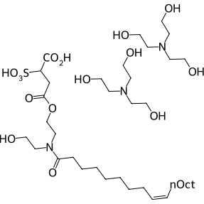 CCCCCCCC/C=C\CCCCCCCC(=O)N(CCO)CCOC(=O)CC(C(=O)O)S(=O)(=O)O.OCCN(CCO)CCO.OCCN(CCO)CCO